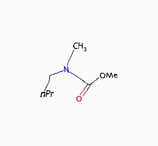 CCCCN(C)C(=O)OC